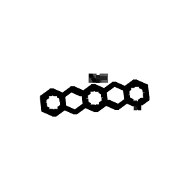 C1=c2cc3c(cc2Cc2ccccc21)=Cc1ncccc1C3.[NaH]